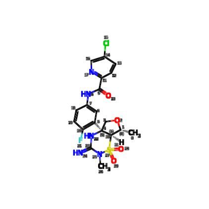 C[C@H]1OC[C@]2(c3cc(NC(=O)c4ccc(Cl)cn4)ccc3F)NC(=N)N(C)S(=O)(=O)[C@H]12